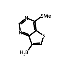 Bc1csc2c(SC)ncnc12